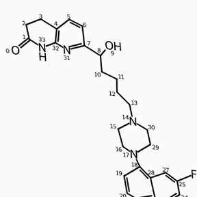 O=C1CCc2ccc(C(O)CCCCN3CCN(c4cccc5ccc(F)cc45)CC3)nc2N1